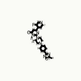 Cc1nc(-c2ccc(N3CCN(c4nc(-c5ccncc5F)cc(=O)n4C)[C@H](C)C3)cc2)no1